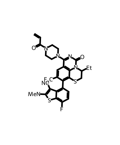 C=CC(=O)N1CCN(c2nc(=O)n3c4c(c(-c5ccc(F)c6sc(NC)c(C#N)c56)c(C(F)(F)F)cc24)SCC3CC)CC1